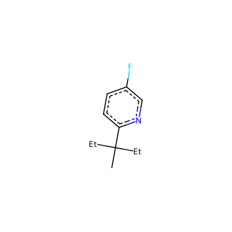 CCC(C)(CC)c1ccc(F)cn1